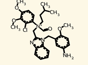 COc1ccc(N)cc1Cn1c(C[N+](C=O)(CCC(C)C)c2ccc(OC)c(OC)c2Cl)nc2ccccc21